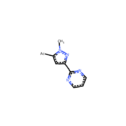 CC(=O)c1cc(-c2ncccn2)nn1C